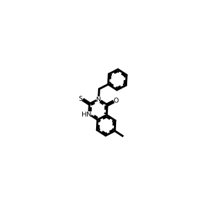 Cc1ccc2[nH]c(=S)n(Cc3ccccc3)c(=O)c2c1